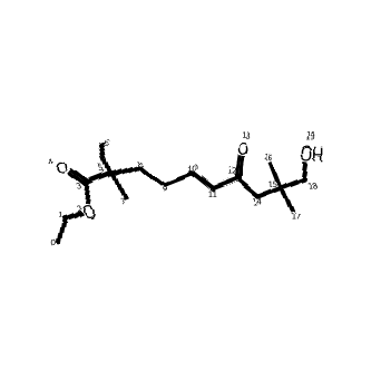 CCOC(=O)C(C)(C)CCCCC(=O)CC(C)(C)CO